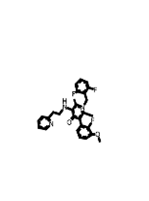 COc1cccc(-c2c(C)n(Cc3c(F)cccc3F)c(C)c(NCCc3ccccn3)c2=O)c1F